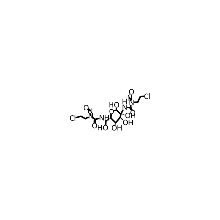 O=NN(CCCl)C(=O)NC(O)[C@H]1OC(O)[C@@](O)(NC(=O)N(CCCl)N=O)[C@@H](O)[C@@H]1O